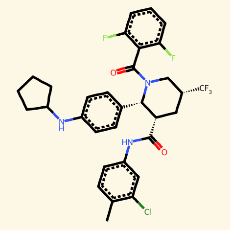 Cc1ccc(NC(=O)[C@H]2C[C@@H](C(F)(F)F)CN(C(=O)c3c(F)cccc3F)[C@H]2c2ccc(NC3CCCC3)cc2)cc1Cl